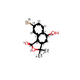 CCC1(CC)OC(=O)c2c1cc(O)c1ccc(Br)cc21